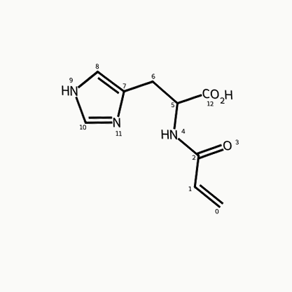 C=CC(=O)NC(Cc1c[nH]cn1)C(=O)O